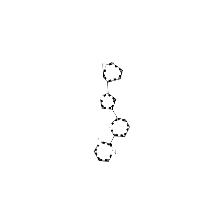 c1cnc(-c2cccc(-c3coc(-c4cccnc4)c3)n2)nc1